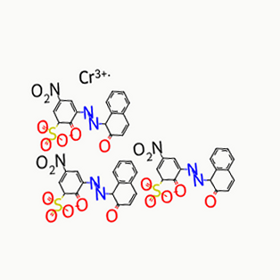 O=C1C=Cc2ccccc2C1N=NC1=CC([N+](=O)[O-])=CC(S(=O)(=O)[O-])C1=O.O=C1C=Cc2ccccc2C1N=NC1=CC([N+](=O)[O-])=CC(S(=O)(=O)[O-])C1=O.O=C1C=Cc2ccccc2C1N=NC1=CC([N+](=O)[O-])=CC(S(=O)(=O)[O-])C1=O.[Cr+3]